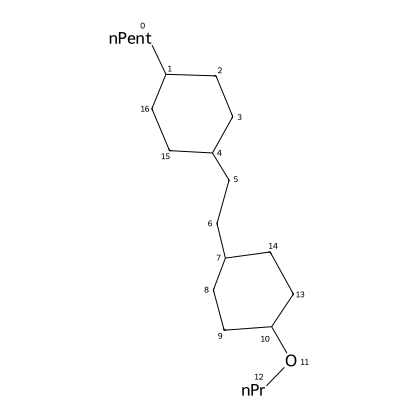 CCCCCC1CCC(CCC2CCC(OCCC)CC2)CC1